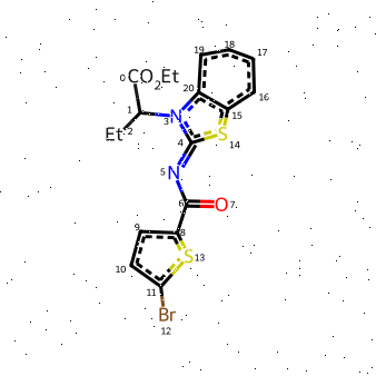 CCOC(=O)C(CC)n1c(=NC(=O)c2ccc(Br)s2)sc2ccccc21